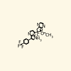 CCOC(=O)C(C)(Cc1cnccn1)c1ccnc2c(-c3ccc(C(F)(F)F)cc3)cnn12